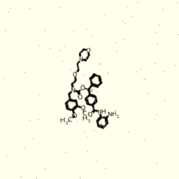 COc1ccc(CN(CCOCCN2CCOCC2)C(=O)O[C@@H](c2ccccc2)c2ccc(C(=O)Nc3ccccc3N)cc2)cc1OC